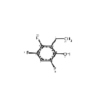 CCc1c(O)c(F)cc(F)c1F